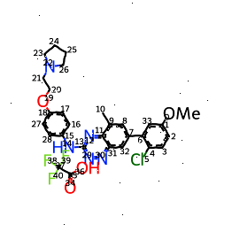 COc1ccc(Cl)c(-c2cc(C)c3nc(Nc4ccc(OCCN5CCCC5)cc4)nnc3c2)c1.O=C(O)C(F)(F)F